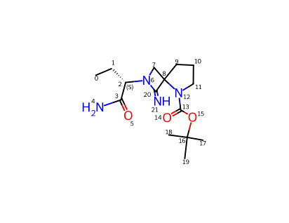 CC[C@@H](C(N)=O)N1CC2(CCCN2C(=O)OC(C)(C)C)C1=N